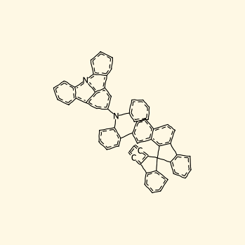 c1ccc(N(c2cc3c4ccccc4n4c5ccccc5c(c2)c34)c2ccccc2-c2ccc3ccc4c(c3c2)C2(c3ccccc3-c3ccccc32)c2ccccc2-4)cc1